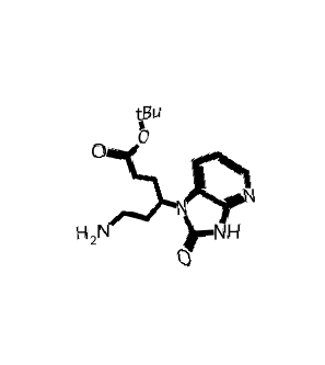 CC(C)(C)OC(=O)CCC(CCN)n1c(=O)[nH]c2ncccc21